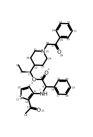 CC[C@H](OC(=O)C(Nc1ccsc1C(C)=O)c1ccccc1)C1CCN(CC(=O)c2ccccc2)CC1